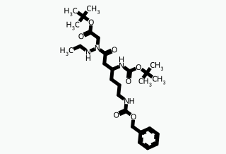 CCNN(CC(=O)OC(C)(C)C)C(=O)CC(CCCNC(=O)OCc1ccccc1)NC(=O)OC(C)(C)C